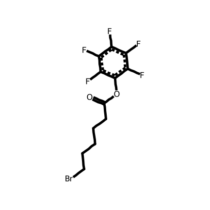 O=C(CCCCCBr)Oc1c(F)c(F)c(F)c(F)c1F